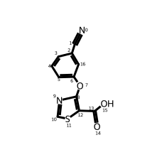 N#Cc1cccc(Oc2ncsc2C(=O)O)c1